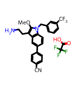 COc1c(CCN)c2cc(-c3ccc(C#N)cc3)ccc2n1Cc1cccc(C(F)(F)F)c1.O=C(O)C(F)(F)F